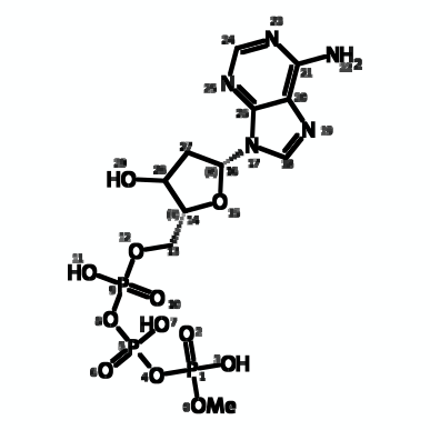 COP(=O)(O)OP(=O)(O)OP(=O)(O)OC[C@H]1O[C@@H](n2cnc3c(N)ncnc32)CC1O